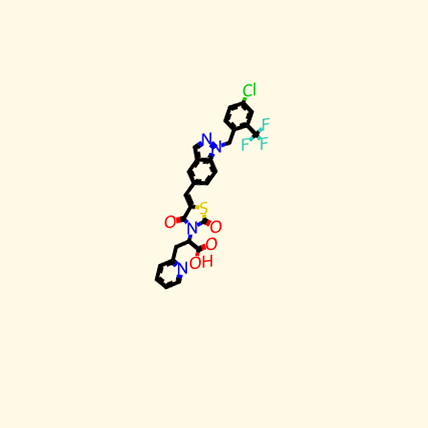 O=C(O)C(Cc1ccccn1)N1C(=O)S/C(=C\c2ccc3c(cnn3Cc3ccc(Cl)cc3C(F)(F)F)c2)C1=O